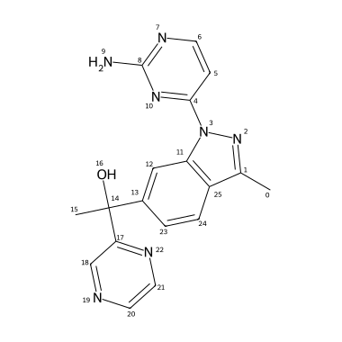 Cc1nn(-c2ccnc(N)n2)c2cc(C(C)(O)c3cnccn3)ccc12